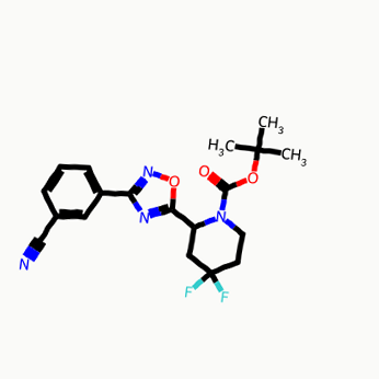 CC(C)(C)OC(=O)N1CCC(F)(F)CC1c1nc(-c2cccc(C#N)c2)no1